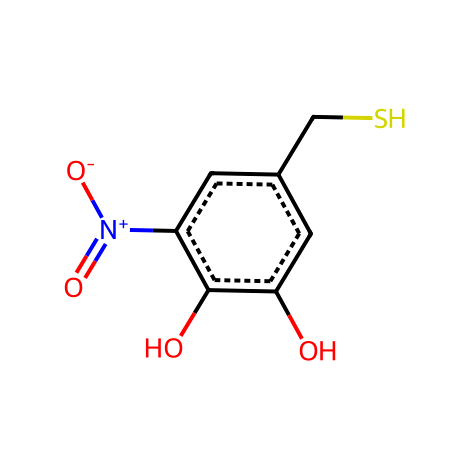 O=[N+]([O-])c1cc(CS)cc(O)c1O